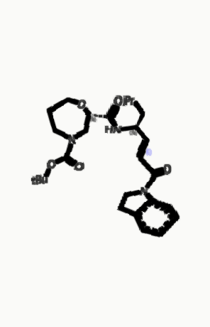 CC(C)C[C@@H](/C=C/C(=O)N1CCc2ccccc21)NC(=O)[C@@H]1CN(C(=O)OC(C)(C)C)CCCO1